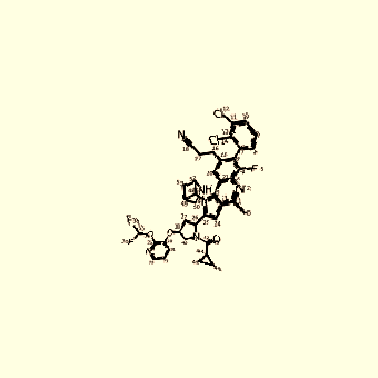 Cc1nc2c(F)c(-c3cccc(Cl)c3Cl)c(CCC#N)cc2c2c1cc(C1CC(Oc3cccnc3OC(F)F)CN1C(=O)C1CC1)n2C1C2CNC1C2